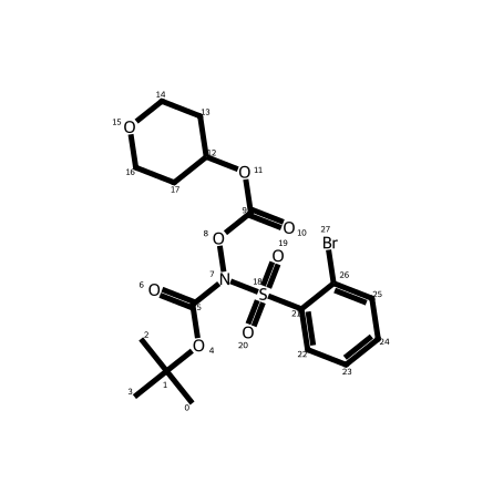 CC(C)(C)OC(=O)N(OC(=O)OC1CCOCC1)S(=O)(=O)c1ccccc1Br